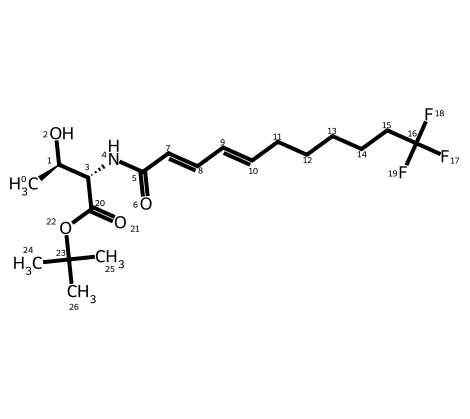 C[C@@H](O)[C@H](NC(=O)/C=C/C=C/CCCCCC(F)(F)F)C(=O)OC(C)(C)C